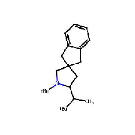 CC(C1CC2(Cc3ccccc3C2)CN1C(C)(C)C)C(C)(C)C